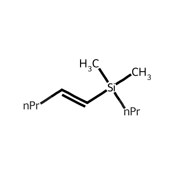 CCC/C=C/[Si](C)(C)CCC